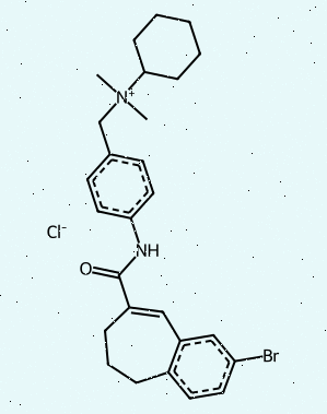 C[N+](C)(Cc1ccc(NC(=O)C2=Cc3cc(Br)ccc3CCC2)cc1)C1CCCCC1.[Cl-]